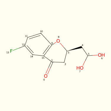 O=C1C[C@H](CC(O)O)Oc2ccc(F)cc21